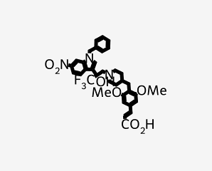 COc1cc(C=CC(=O)O)cc(OC)c1CC1CCN(CC(O)(c2cn(Cc3ccccc3)c3cc([N+](=O)[O-])ccc23)C(F)(F)F)CC1